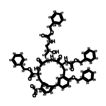 O=C(NC[C@H](O)C[C@@H]1NC(=O)[C@@H](NC(=O)OCc2ccccc2)Cc2cc(ccc2OCc2ccccc2)-c2ccc([N+](=O)[O-])c(c2)C[C@@H](C(=O)OCc2ccccc2)NC1=O)OCc1ccccc1